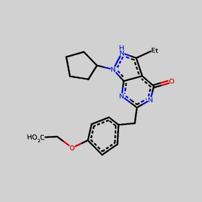 CCc1[nH]n(C2CCCC2)c2nc(Cc3ccc(OCC(=O)O)cc3)nc(=O)c1-2